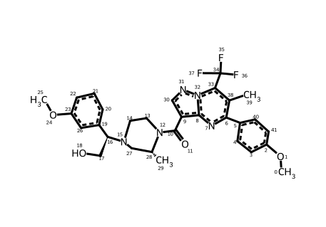 COc1ccc(-c2nc3c(C(=O)N4CCN([C@@H](CO)c5cccc(OC)c5)C[C@H]4C)cnn3c(C(F)(F)F)c2C)cc1